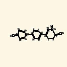 O=C1CCC(c2ccc(-n3ccc(=O)cc3)cc2)=NN1